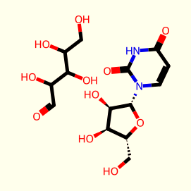 O=CC(O)C(O)C(O)CO.O=c1ccn([C@@H]2O[C@H](CO)[C@@H](O)[C@H]2O)c(=O)[nH]1